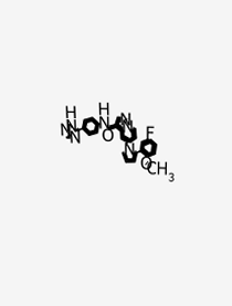 COc1ccc(F)cc1[C@H]1CCCN1c1ccn2ncc(C(=O)N[C@H]3CC[C@H](c4ncn[nH]4)CC3)c2c1